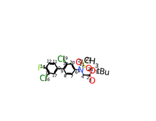 CC(C)(C)OC(=O)CN(c1ccc(-c2ccc(F)c(Cl)c2)c(Cl)c1)S(C)(=O)=O